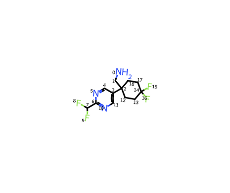 NCC1(c2cnc(C(F)F)nc2)CCC(F)(F)CC1